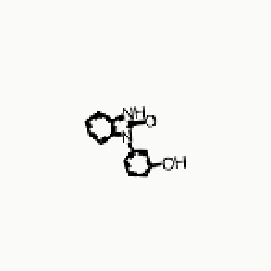 O=c1[nH]c2ccccc2n1-c1cccc(O)c1